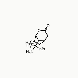 CCCC(C)(C)C1C2CC(=O)OC1C(C)C2